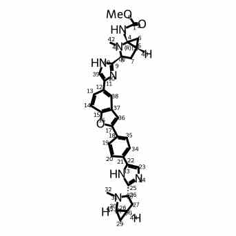 COC(=O)N[C@@]12C[C@@H]1C[C@@H](c1nc(-c3ccc4oc(-c5ccc(-c6cnc([C@@H]7C[C@H]8C[C@H]8N7C)[nH]6)cc5)cc4c3)c[nH]1)N2C